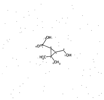 CC1(C)C(CO)C1C(=O)O